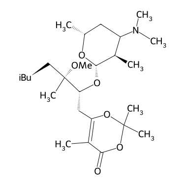 CC[C@H](C)C[C@@](C)(OC)[C@@H](CC1=C(C)C(=O)OC(C)(C)O1)O[C@@H]1O[C@H](C)CC(N(C)C)[C@H]1C